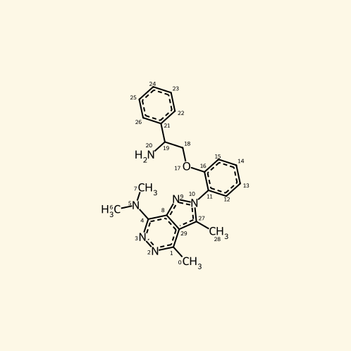 Cc1nnc(N(C)C)c2nn(-c3ccccc3OCC(N)c3ccccc3)c(C)c12